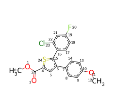 COC(=O)c1cc(-c2ccc(OC)cc2)c(-c2ccc(F)cc2Cl)s1